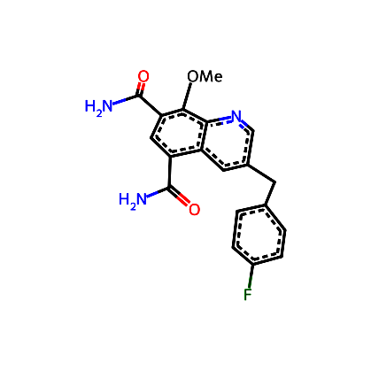 COc1c(C(N)=O)cc(C(N)=O)c2cc(Cc3ccc(F)cc3)cnc12